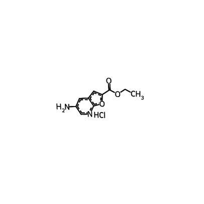 CCOC(=O)c1cc2cc(N)cnc2o1.Cl